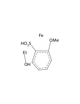 CCO.COc1ccccc1S(=O)(=O)O.[Fe]